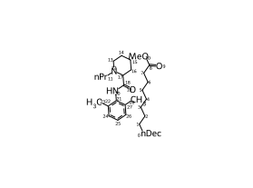 CCCCCCCCCCCCCCCCCC(=O)OC.CCCN1CCCCC1C(=O)Nc1c(C)cccc1C